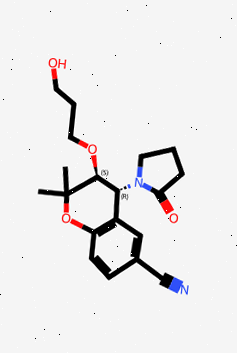 CC1(C)Oc2ccc(C#N)cc2[C@@H](N2CCCC2=O)[C@@H]1OCCCO